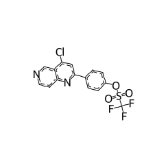 O=S(=O)(Oc1ccc(-c2cc(Cl)c3cnccc3n2)cc1)C(F)(F)F